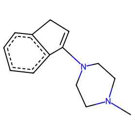 CN1CCN(C2=CCc3ccccc32)CC1